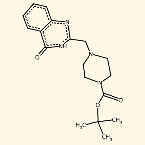 CC(C)(C)OC(=O)N1CCN(Cc2nc3ccccc3c(=O)[nH]2)CC1